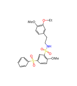 CCOc1cc(CCNS(=O)(=O)c2cc(S(=O)(=O)c3ccccc3)ccc2OC)ccc1OC